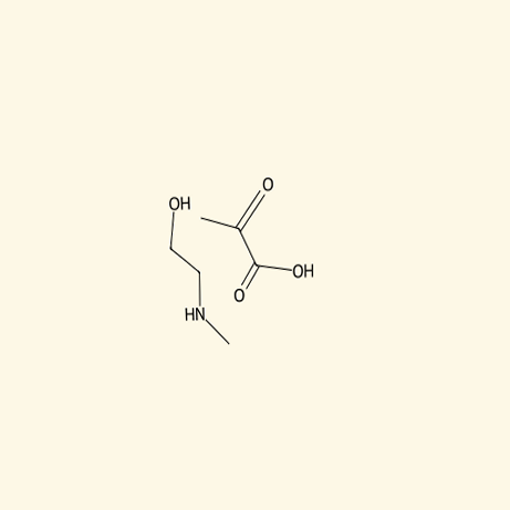 CC(=O)C(=O)O.CNCCO